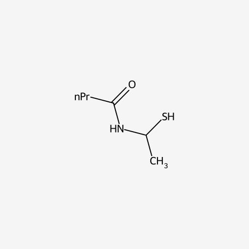 CCCC(=O)NC(C)S